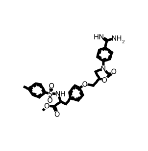 COC(=O)C(Cc1ccc(OCC2CN(c3ccc(C(=N)N)cc3)C(=O)O2)cc1)NS(=O)(=O)c1ccc(C)cc1